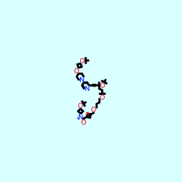 CN(C(=O)C12CC(COCCCCOC(C)(C)CCC(C)(C#Cc3cc(N4CCC(OC5CC(OC(C)(C)C)C5)CC4)ccn3)OC(C)(C)C)(C1)C2)C1CC(OC(C)(C)C)C1